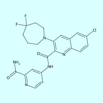 NC(=O)c1cc(NC(=O)c2nc3ccc(Cl)cc3cc2N2CCCC(F)(F)CC2)ccn1